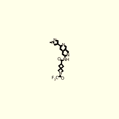 Cn1cc(-c2cc3cc(NC(=O)C4CC5(C4)CN(C(=O)C(F)(F)F)C5)ncc3cn2)cn1